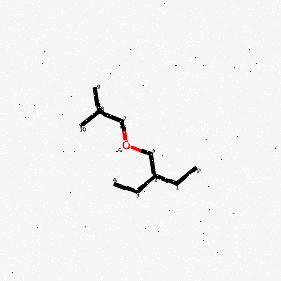 CCC(CC)COCC(C)C